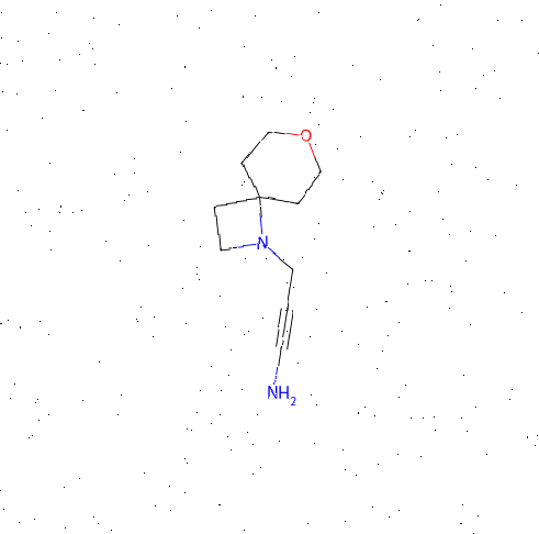 NC#CCN1CCC12CCOCC2